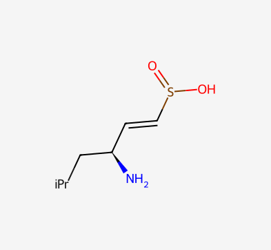 CC(C)C[C@H](N)/C=C/S(=O)O